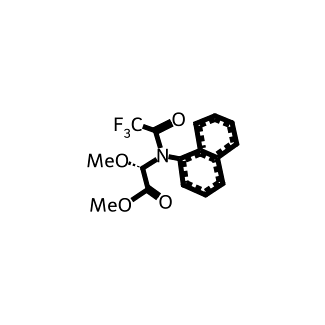 COC(=O)[C@H](OC)N(C(=O)C(F)(F)F)c1cccc2ccccc12